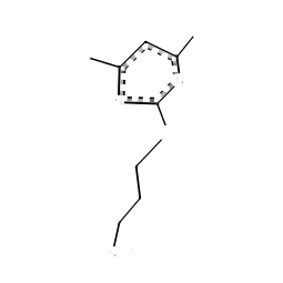 CC(=O)NCCCOc1nc(C)[c]c(C)n1